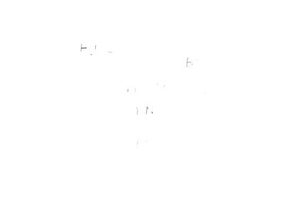 CCCCOC(=O)Nc1c(C)ccc2ccc(Br)cc12